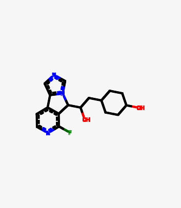 OC1CCC(CC(O)C2c3c(ccnc3F)-c3cncn32)CC1